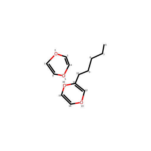 C1=COC=CO1.CCCCCC1=COC=CO1